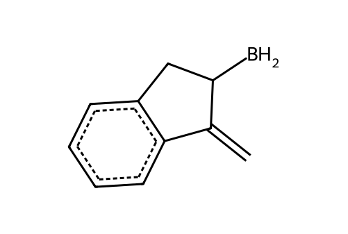 BC1Cc2ccccc2C1=C